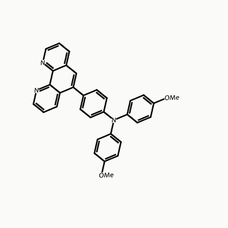 COc1ccc(N(c2ccc(OC)cc2)c2ccc(-c3cc4cccnc4c4ncccc34)cc2)cc1